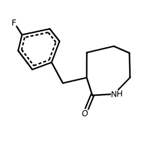 O=C1NCCCCC1Cc1ccc(F)cc1